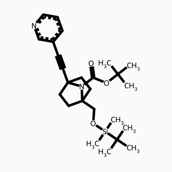 CC(C)(C)OC(=O)N1C2(C#Cc3cccnc3)CCC1(CO[Si](C)(C)C(C)(C)C)CC2